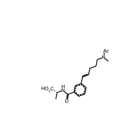 CC(=O)N(C)CCCC=Cc1cccc(C(=O)N[C@H](C)C(=O)O)c1